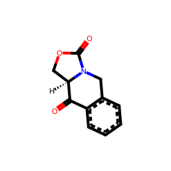 O=C1c2ccccc2CN2C(=O)OC[C@H]12